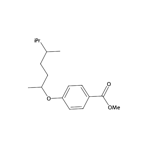 COC(=O)c1ccc(OC(C)CCC(C)C(C)C)cc1